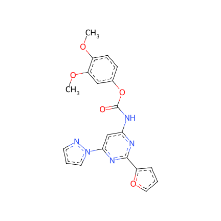 COc1ccc(OC(=O)Nc2cc(-n3cccn3)nc(-c3ccco3)n2)cc1OC